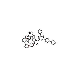 Oc1ccc2c(c1-c1ccccc1)C1(c3ccccc3C3(c4ccccc4-c4ccccc43)c3ccccc31)c1cccc(-c3cc(-c4ccc(-c5ccccc5)cc4)nc(-c4ccccc4)n3)c1-2